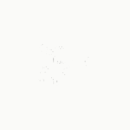 CCCC1NC(=O)C2CCCCN2C(=O)[C@H](CCCCCC(=O)CC)NC(=O)C(Cc2cn(OC)c3ccccc23)NC1=O